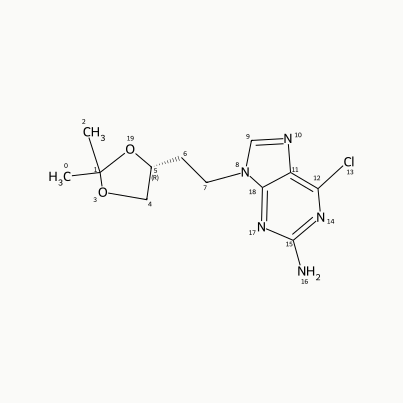 CC1(C)OC[C@@H](CCn2cnc3c(Cl)nc(N)nc32)O1